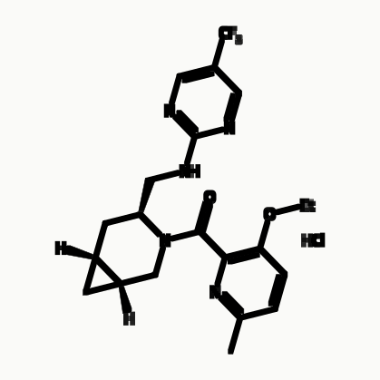 CCOc1ccc(C)nc1C(=O)N1C[C@@H]2C[C@@H]2C[C@H]1CNc1ncc(C(F)(F)F)cn1.Cl